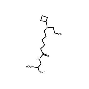 CCCCCCCCC(CCCCCCCC)CNC(=O)CCCCCN(CCO)C1CCC1